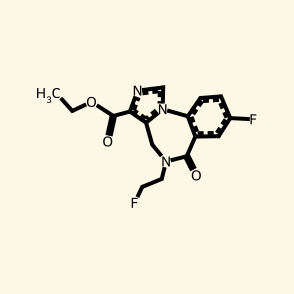 CCOC(=O)c1ncn2c1CN(CCF)C(=O)c1cc(F)ccc1-2